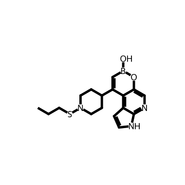 CCCSN1CCC(C2=CB(O)Oc3cnc4[nH]ccc4c32)CC1